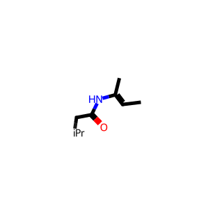 CC=C(C)NC(=O)CC(C)C